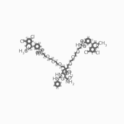 CN1Cc2c(Cl)cc(Cl)cc2[C@H](c2cccc(S(=O)(=O)NCCOCCOCCOCCC(CCOCCOCCOCCNS(=O)(=O)c3cccc([C@@H]4CN(C)Cc5c(Cl)cc(Cl)cc54)c3)(CC(CCC(N)=O)NC(=O)Nc3ccccc3)C(N)=O)c2)C1